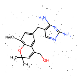 COc1cc(Cc2cnc(N)nc2N)cc2c1OC(C)(C)C=C2CO